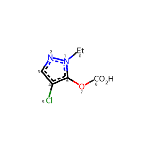 CCn1ncc(Cl)c1OC(=O)O